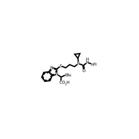 CCCNC(=O)N(CCCSc1nc2ccccc2n1C(C(=O)O)C(C)(C)C)C1CC1